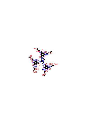 CC(=O)OCC(=O)Nc1c(I)c(C(=O)NCC(O)CO)c(I)c(C(=O)N(C)CCN(CCN(C)C(=O)c2c(I)c(NC(=O)COC(C)=O)c(I)c(C(=O)NCC(O)CO)c2I)CCN(C)C(=O)c2c(I)c(NC(=O)COC(C)=O)c(I)c(C(=O)NCC(O)CO)c2I)c1I